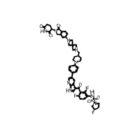 O=C1CCC(N2Cc3cc(N4CC5(CN(CC6CCN(c7ccc(-c8cnc9[nH]cc(C(=O)c%10c(F)ccc(NS(=O)(=O)N%11CC[C@@H](F)C%11)c%10F)c9c8)cc7)CC6)C5)C4)ccc3C2=O)C(=O)N1